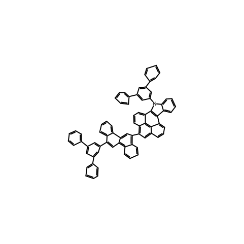 c1ccc(-c2cc(-c3ccccc3)cc(-c3cc4c5ccccc5c(-c5cc6cccc7c6c6c5cccc6c5c7c6ccccc6n5-c5cc(-c6ccccc6)cc(-c6ccccc6)c5)cc4c4ccccc34)c2)cc1